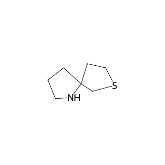 C1CNC2(C1)CCSC2